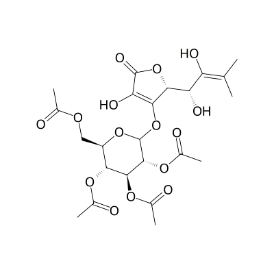 CC(=O)OC[C@H]1OC(OC2=C(O)C(=O)O[C@@H]2[C@@H](O)C(O)=C(C)C)[C@H](OC(C)=O)[C@@H](OC(C)=O)[C@@H]1OC(C)=O